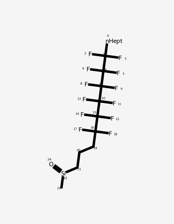 CCCCCCCC(F)(F)C(F)(F)C(F)(F)C(F)(F)C(F)(F)C(F)(F)CCC[Si](C)=O